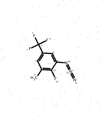 Cc1cc(C(F)(F)F)cc(N=[N+]=[N-])c1F